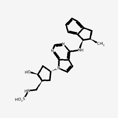 C[C@@H]1Cc2ccccc2[C@@H]1Nc1ncnc2c1ccn2[C@@H]1C[C@@H](CNS(=O)(=O)O)[C@@H](O)C1